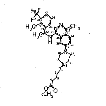 COC(=O)CCCCN1CCN(c2ccc3c(C)nnc(N[C@H](C)c4cccc(C(F)(F)F)c4C)c3c2)CC1